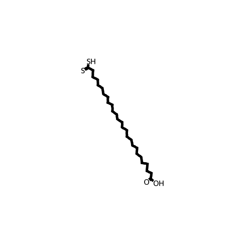 O=C(O)CCCCCCCCCCCCCCCCCCCCCCCCCC(=S)S